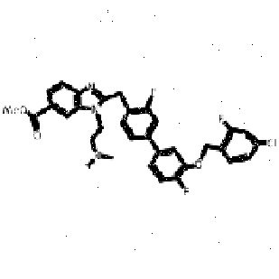 COC(=O)c1ccc2nc(Cc3ccc(-c4ccc(F)c(OCc5ccc(Cl)cc5F)c4)cc3F)n(CCN(C)C)c2c1